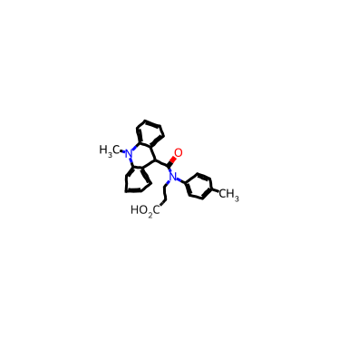 Cc1ccc(N(CCC(=O)O)C(=O)C2c3ccccc3N(C)c3ccccc32)cc1